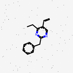 C=Cc1cnc(Cc2ccccc2)nc1CC